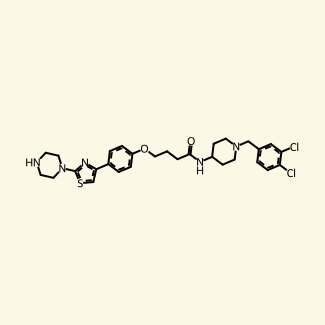 O=C(CCCOc1ccc(-c2csc(N3CCNCC3)n2)cc1)NC1CCN(Cc2ccc(Cl)c(Cl)c2)CC1